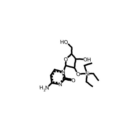 CC[Si](CC)(CC)OC1C(O)C(CO)OC1n1ccc(N)nc1=O